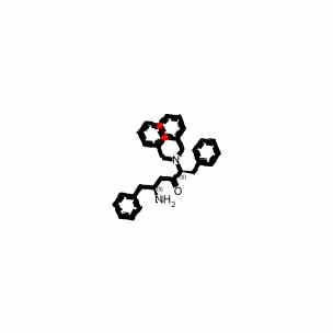 N[C@H](CC(=O)[C@H](Cc1ccccc1)N(Cc1ccccc1)Cc1ccccc1)Cc1ccccc1